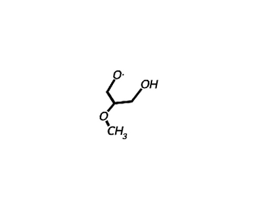 COC(C[O])CO